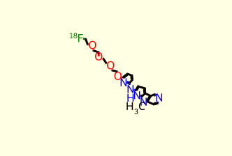 Cn1c2ccncc2c2ccc(Nc3cccc(OCCOCCOCCOCC[18F])n3)nc21